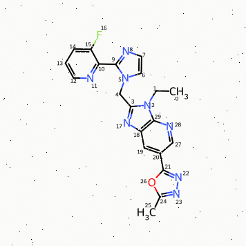 CCn1c(Cn2ccnc2-c2ncccc2F)nc2cc(-c3nnc(C)o3)cnc21